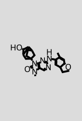 CC1=CC2OCCC2C=C1Nc1ncc2c(n1)n(C13CC4CC(C1)C(C3)C4O)c(=O)n2C